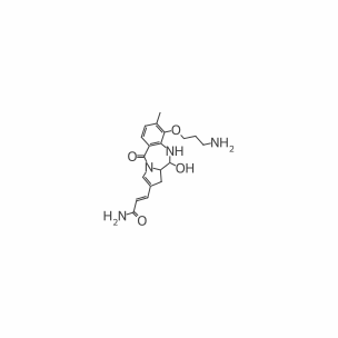 Cc1ccc2c(c1OCCCN)NC(O)C1CC(C=CC(N)=O)=CN1C2=O